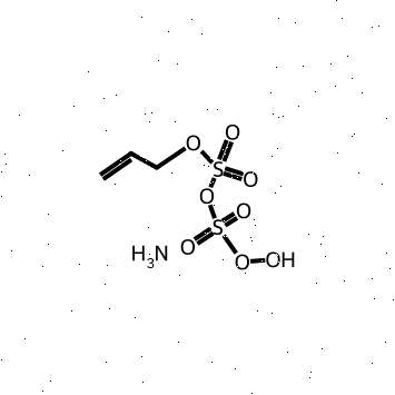 C=CCOS(=O)(=O)OS(=O)(=O)OO.N